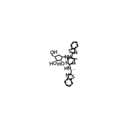 Cc1nc(N[C@H](C)c2nc3ccccc3s2)nc(N[C@@H]2C[C@H](CO)[C@@H](O)[C@H]2O)c1-c1nc2ccccc2s1